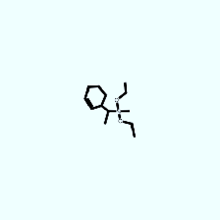 CCO[Si](C)(OCC)C(C)C1C=CCCC1